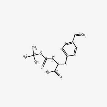 C=Cc1ccc(CC(NC(=O)OC(C)(C)C)C(=O)O)cc1